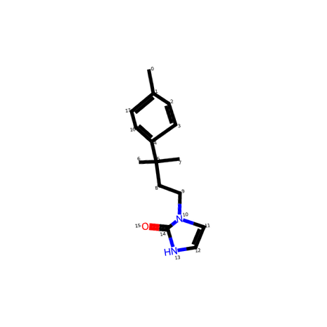 Cc1ccc(C(C)(C)CCn2cc[nH]c2=O)cc1